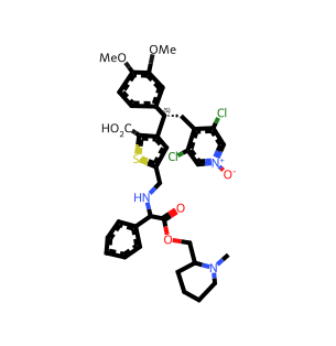 COc1ccc([C@H](Cc2c(Cl)c[n+]([O-])cc2Cl)c2cc(CNC(C(=O)OCC3CCCCN3C)c3ccccc3)sc2C(=O)O)cc1OC